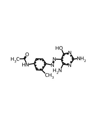 CC(=O)Nc1ccc(/N=N/c2c(N)nc(N)nc2O)c(C)c1